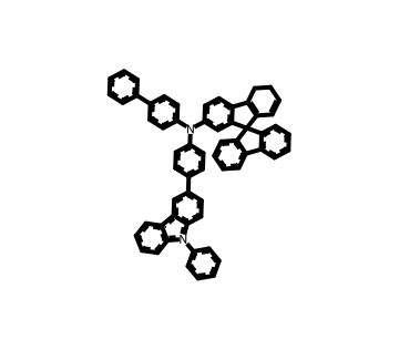 C1=CC2=C(CC1)c1ccc(N(c3ccc(-c4ccccc4)cc3)c3ccc(-c4ccc5c(c4)c4ccccc4n5-c4ccccc4)cc3)cc1C21c2ccccc2-c2ccccc21